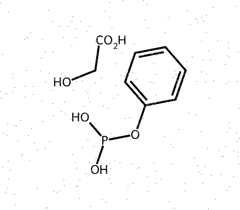 O=C(O)CO.OP(O)Oc1ccccc1